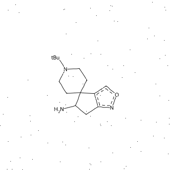 CC(C)(C)N1CCC2(CC1)c1conc1CC2N